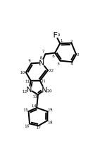 Fc1ccccc1Cn1ccc2nc(-c3ccccc3)nc-2c1